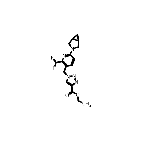 CCOC(=O)c1cn(Cc2ccc(N3CC4CC4C3)nc2C(F)F)nn1